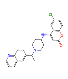 CC(c1ccc2ncccc2c1)N1CCC(Nc2cc(=O)oc3ccc(Cl)cc23)CC1